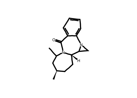 CC1C[C@H](C)CC[C@H]2C3CN3c3ccccc3C(=O)N12